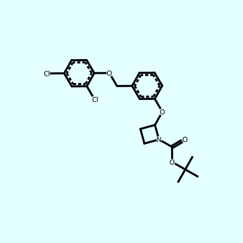 CC(C)(C)OC(=O)N1CCC1Oc1cccc(COc2ccc(Cl)cc2Cl)c1